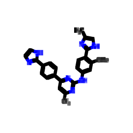 COc1cc(Nc2nc(-c3ccc(-c4ncc[nH]4)cc3)cc(C(F)(F)F)n2)ccc1-c1nc(C)c[nH]1